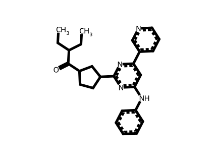 CCC(CC)C(=O)C1CCC(c2nc(Nc3ccccc3)cc(-c3cccnc3)n2)C1